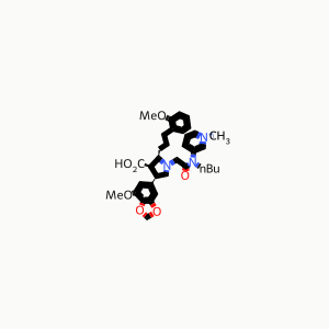 CCCCN(C(=O)CN1C[C@H](c2cc(OC)c3c(c2)OCO3)[C@@H](C(=O)O)[C@@H]1CCCc1ccccc1OC)c1ccc[n+](C)c1